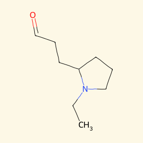 CCN1CCCC1CCC=O